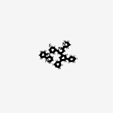 Fc1cc(-c2cc(-c3cc(-c4ccccc4)cc(-c4ccccc4)c3)cc(-c3ccccn3)n2)cc(-n2c3ccccc3c3ncccc32)c1